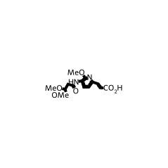 COc1nc(C=CC(=O)O)ccc1NC(=O)CC(OC)OC